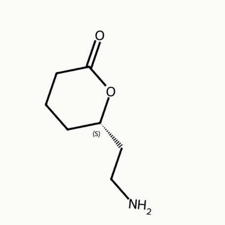 NCC[C@@H]1CCCC(=O)O1